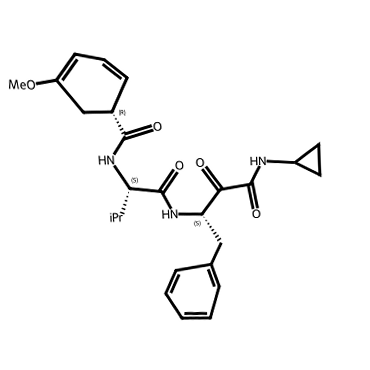 COC1=CC=C[C@H](C(=O)N[C@H](C(=O)N[C@@H](Cc2ccccc2)C(=O)C(=O)NC2CC2)C(C)C)C1